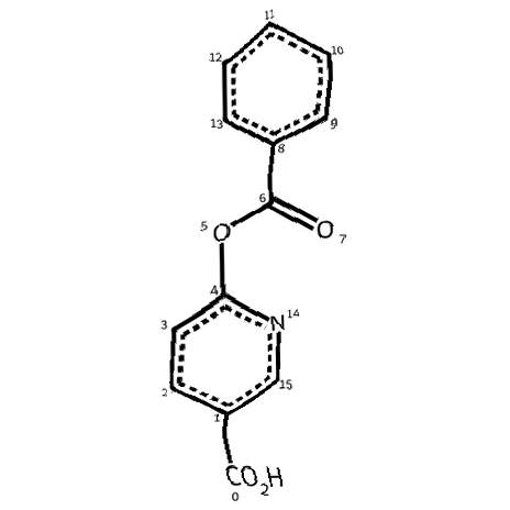 O=C(O)c1[c]cc(OC(=O)c2ccccc2)nc1